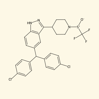 [O-][S+](N1CCC(c2n[nH]c3ccc(C(c4ccc(Cl)cc4)c4ccc(Cl)cc4)cc23)CC1)C(F)(F)F